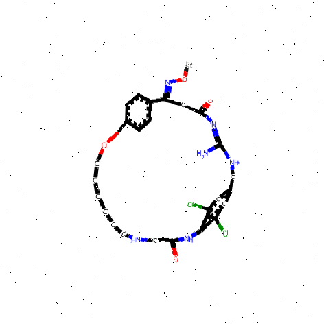 CCON=C1CC(=O)/N=C(\N)NCc2cc(Cl)c(c(Cl)c2)NC(=O)CNCCCCCCOc2ccc1cc2